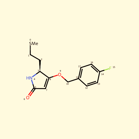 CSCC[C@@H]1NC(=O)C=C1OCc1ccc(F)cc1